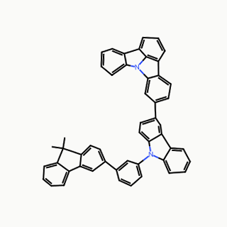 CC1(C)c2ccccc2-c2cc(-c3cccc(-n4c5ccccc5c5cc(-c6ccc7c8cccc9c%10ccccc%10n(c7c6)c98)ccc54)c3)ccc21